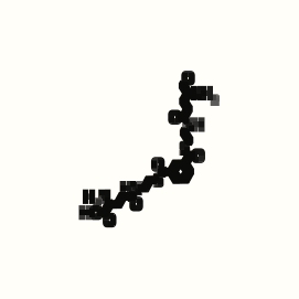 NC(C=O)CCC(=O)NCCSC(=O)c1cccc(C(=O)SCCNC(=O)CCC(N)C(=O)O)c1